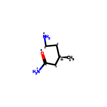 C[C@@H](CCN)CC(N)=O